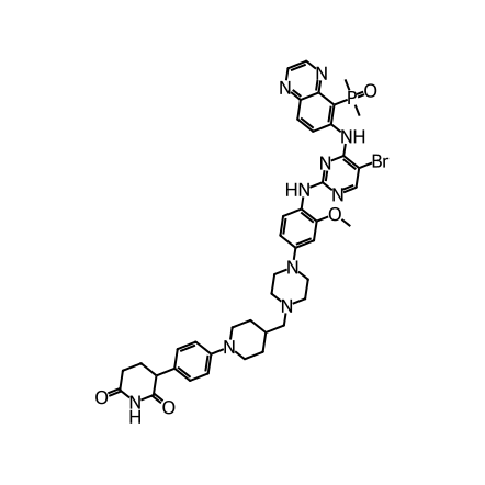 COc1cc(N2CCN(CC3CCN(c4ccc(C5CCC(=O)NC5=O)cc4)CC3)CC2)ccc1Nc1ncc(Br)c(Nc2ccc3nccnc3c2P(C)(C)=O)n1